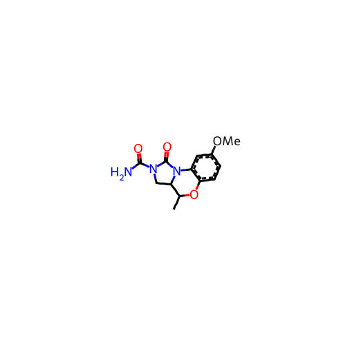 COc1ccc2c(c1)N1C(=O)N(C(N)=O)CC1C(C)O2